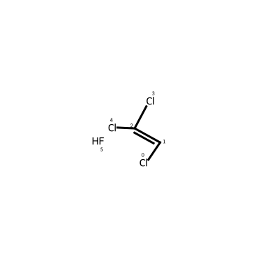 ClC=C(Cl)Cl.F